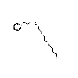 CCCCCCCCCCCCCCOCCOCCOP(=O)([O-])OCC[n+]1ccccc1